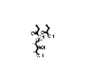 CCC(=O)O.CCC(=O)O.OCC(O)CO